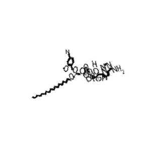 CCCCCCCCCCCCCCCCCCOC[C@@H](COP(=O)(O)OC1[C@@](O)([C@@H](O)c2ccc3c(N)ncnn23)[C@]1(C)OC)OCc1ccc(C#N)cc1OC